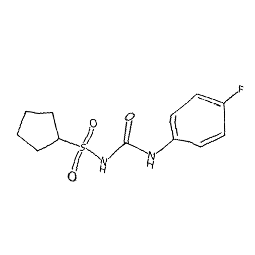 O=C(Nc1ccc(F)cc1)NS(=O)(=O)C1CCCC1